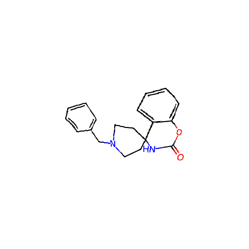 O=C1NC2(CCN(Cc3ccccc3)CC2)c2ccccc2O1